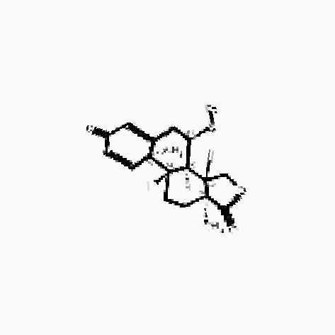 CCS[C@@H]1CC2=CC(=O)C=C[C@]2(C)[C@H]2CC[C@]3(C)C(=O)OC[C@H]3[C@H]12